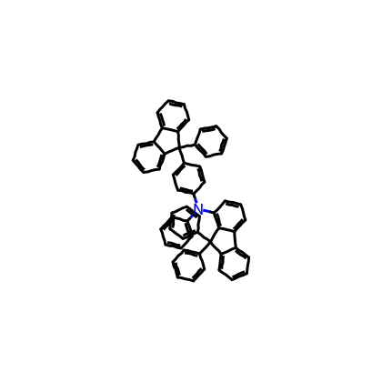 c1ccc(N(c2ccc(C3(c4ccccc4)c4ccccc4-c4ccccc43)cc2)c2cccc3c2C(c2ccccc2)(c2ccccc2)c2ccccc2-3)cc1